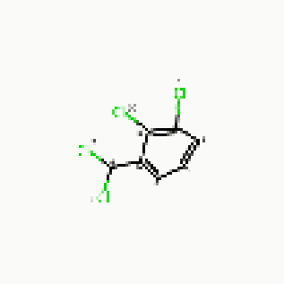 Clc1[c]ccc(C(Cl)Cl)c1Cl